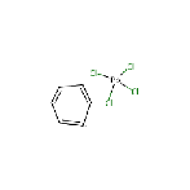 [Cl][Pb]([Cl])([Cl])[Cl].[c]1ccccc1